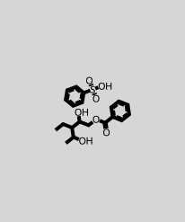 CCC(C(C)O)C(O)COC(=O)c1ccccc1.O=S(=O)(O)c1ccccc1